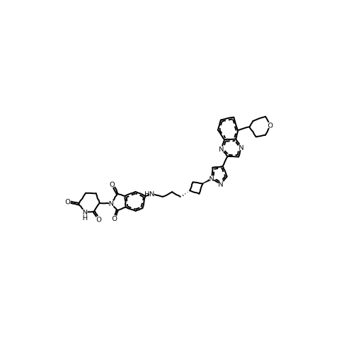 O=C1CCC(N2C(=O)c3ccc(NCCC[C@H]4C[C@H](n5cc(-c6cnc7c(C8CCOCC8)cccc7n6)cn5)C4)cc3C2=O)C(=O)N1